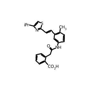 Cc1ccc(NC(=O)Cc2ccccc2C(=O)O)cc1C=Cc1nc(C(C)C)cs1